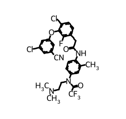 Cc1cc(N(CCN(C)C)C(=O)C(F)(F)F)ccc1NC(=O)Cc1ccc(Cl)c(Oc2cc(Cl)cc(C#N)c2)c1F